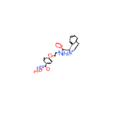 O=C(NO)c1ccc(OCCNC(=O)c2nccc3ccccc23)cc1